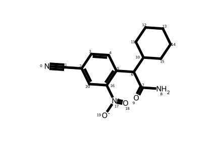 N#Cc1ccc(C(C(N)=O)C2CCCCC2)c([N+](=O)[O-])c1